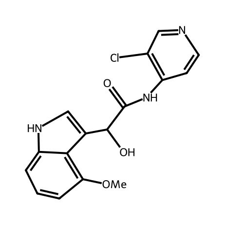 COc1cccc2[nH]cc(C(O)C(=O)Nc3ccncc3Cl)c12